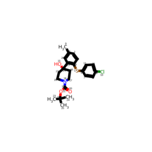 Cc1ccc(Sc2ccc(Cl)cc2)c(C2(O)CCN(C(=O)OC(C)(C)C)CC2)c1